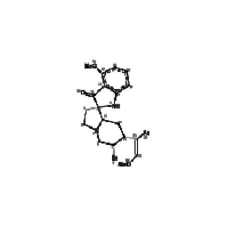 CC[C@@H]1CN2CC[C@]3(Nc4cccc(OC)c4C3=O)C2C[C@@H]1/C(=C\OC)C(C)=O